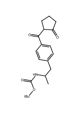 CC(Cc1ccc(C(=O)C2CCCC2=O)cc1)NC(=O)OC(C)(C)C